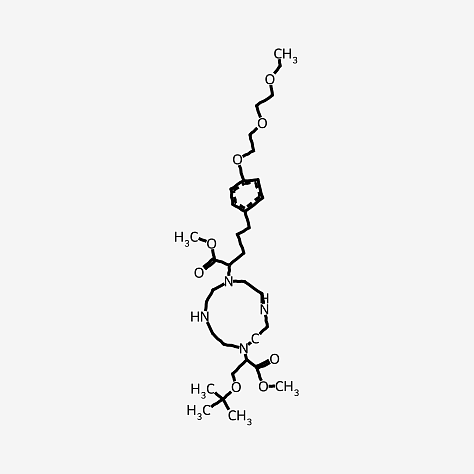 CCOCCOCCOc1ccc(CCCC(C(=O)OC)N2CCNCCN(C(COC(C)(C)C)C(=O)OC)CCNCC2)cc1